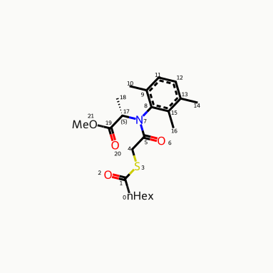 CCCCCCC(=O)SCC(=O)N(c1c(C)ccc(C)c1C)[C@@H](C)C(=O)OC